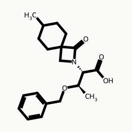 CC1CCC2(CC1)CN([C@H](C(=O)O)[C@@H](C)OCc1ccccc1)C2=O